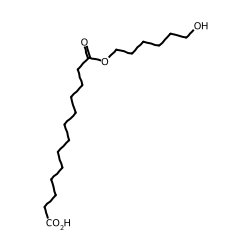 O=C(O)CCCCCCCCCCCC(=O)OCCCCCCO